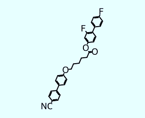 N#Cc1ccc(-c2ccc(OCCCCCC(=O)Oc3ccc(-c4ccc(F)cc4)c(F)c3)cc2)cc1